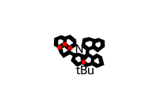 CC(C)(C)c1ccc(N(c2ccc3ccccc3c2)c2ccc3ccccc3c2-c2cccc3ccccc23)c(-c2ccccc2)c1